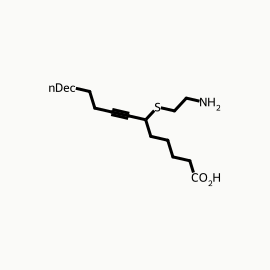 CCCCCCCCCCCCC#CC(CCCCC(=O)O)SCCN